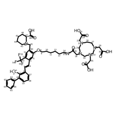 Cc1c(/C=C/c2cc(OCCCCCCNC(=O)CN3CN(CC(=O)O)CCN(CC(=O)O)CN(CC(=O)O)C3)c(CN3CCCC[C@H]3C(=O)O)cc2C(F)(F)F)cccc1-c1ccccc1